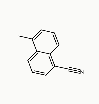 Cc1cccc2c(C#N)cccc12